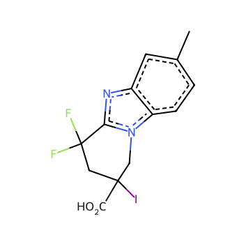 Cc1ccc2c(c1)nc1n2CC(I)(C(=O)O)CC1(F)F